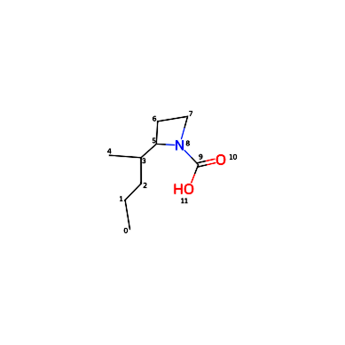 CCCC(C)C1CCN1C(=O)O